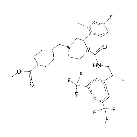 COC(=O)C1CCC(CN2CCN(C(=O)NC[C@H](C)c3cc(C(F)(F)F)cc(C(F)(F)F)c3)C(c3ccc(F)cc3C)C2)CC1